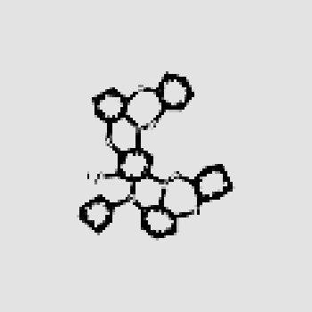 Cc1c2c(cc3c1N(c1ccccc1)c1cccc4c1B3Oc1ccccc1O4)B1Oc3ccccc3Oc3cccc(c31)O2